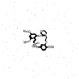 COc1cc(OC)c(C=CS(=O)(=O)Nc2ccc(OC)c(OCCN3CCOCC3)c2)c(OC)c1